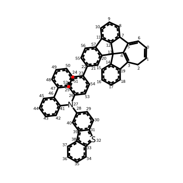 C1=CCC2=C3C(=C1)c1cccc4c1C3(c1ccccc12)c1cc(-c2ccc(N(c3ccc5sc6ccccc6c5c3)c3ccccc3-c3ccccc3)cc2)ccc1-4